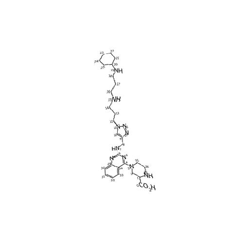 O=C(O)C1CN(c2nc(NCc3cn(CCCNCCCNC4CCCCC4)nn3)nc3ccccc23)CCN1